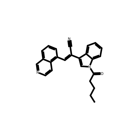 CCCCC(=O)n1cc(/C(C#N)=C/c2cccc3cnccc23)c2ccccc21